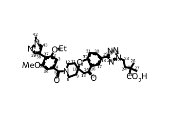 CCOc1cc(C(=O)N2CCC3(CC2)CC(=O)c2cc(-c4nnn(CCC(C)(C)C(=O)O)n4)ccc2O3)cc(OC)c1-c1cnn(C)c1